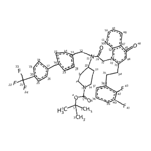 CC(C)(C)OC(=O)N1CCC(N(Cc2ccc(-c3ccc(C(F)(F)F)cc3)cc2)C(=O)Cn2c(CCc3cccc(F)c3F)cc(=O)c3cccnc32)CC1